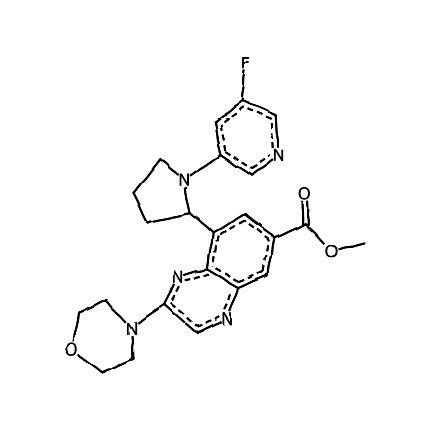 COC(=O)c1cc(C2CCCN2c2cncc(F)c2)c2nc(N3CCOCC3)cnc2c1